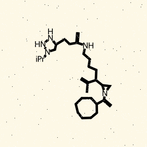 C=C(CCC1CN(C(C)C)NN1)NCCCCC(C(=C)C)C1CN1C(=C)C1CCCCCCC1